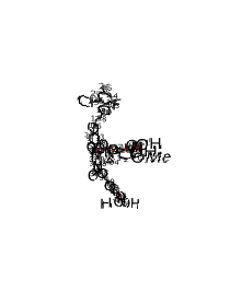 COc1ccc(CN(C(=O)C2=C(c3ccc(OCCCCOc4c(F)cc(C)cc4Cl)cc3)CC3CN(C(=O)OCCOCCON(O)O)CC2N3C(=O)OCCOCCON(O)O)C2CC2)cc1C